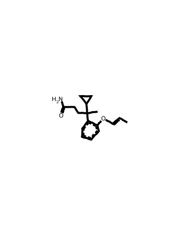 CC=COc1ccccc1C(C)(CCC(N)=O)C1CC1